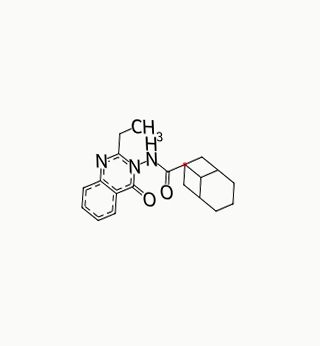 CCc1nc2ccccc2c(=O)n1NC(=O)CC1C2CCCC1CCC2